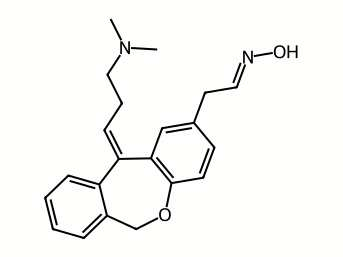 CN(C)CCC=C1c2ccccc2COc2ccc(CC=NO)cc21